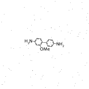 COc1cc(N)ccc1-c1ccc(N)cc1